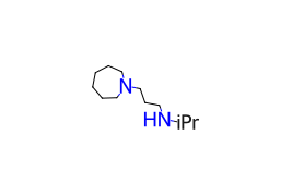 CC(C)NCCCN1CCCCCC1